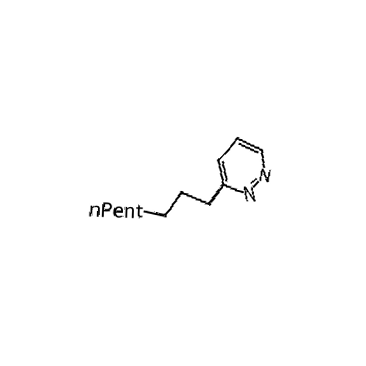 CCCCCCCCc1cccnn1